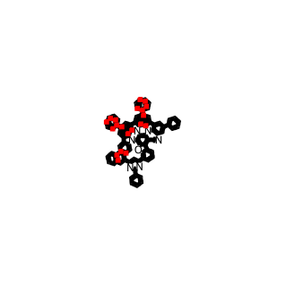 N#Cc1c(-n2c3ccc(-c4ccccc4)cc3c3cc(-c4ccccc4)ccc32)c(-n2c3ccc(-c4ccccc4)cc3c3cc(-c4ccccc4)ccc32)c(-n2c3ccc(-c4ccccc4)cc3c3cc(-c4ccccc4)ccc32)c2oc3c(-c4cc(-c5ccccc5)nc(-c5ccccc5)n4)cccc3c12